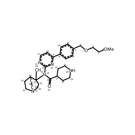 COCCOCc1ccc(-c2ccnc(N(C(=O)C3CCNCC3)C3(C)CCN4CCC3CC4)n2)cc1